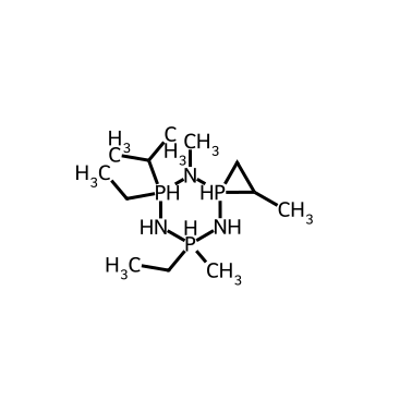 CC[PH]1(C)N[PH](CC)(C(C)C)N(C)[PH]2(CC2C)N1